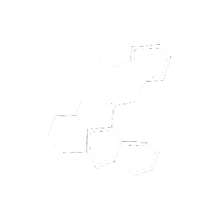 COc1ccccc1CNc1c2c(nc3ccccc13)CCCC2O